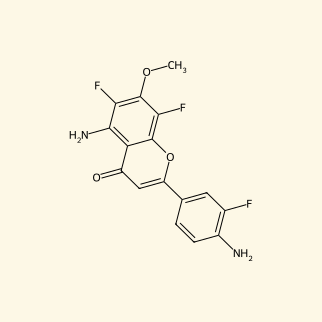 COc1c(F)c(N)c2c(=O)cc(-c3ccc(N)c(F)c3)oc2c1F